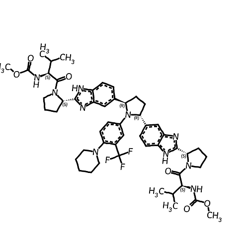 COC(=O)N[C@H](C(=O)N1CCC[C@H]1c1nc2cc([C@H]3CC[C@H](c4ccc5[nH]c([C@@H]6CCCN6C(=O)[C@@H](NC(=O)OC)C(C)C)nc5c4)N3c3ccc(N4CCCCC4)c(C(F)(F)F)c3)ccc2[nH]1)C(C)C